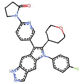 O=C1CCCN1c1ccc(-c2c(C3CCOCC3)n(-c3ccc(F)cc3)c3cc4cn[nH]c4cc23)cn1